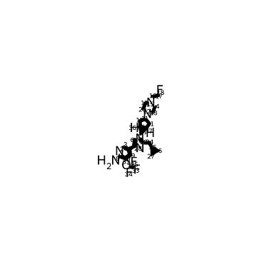 Nc1ncc(-c2cn([C@H]3[C@@H]4CC(N5CCN(CCF)CC5)C[C@@H]43)c(CC3CC3)n2)cc1OC(F)(F)F